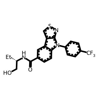 CC[C@@H](CO)NC(=O)c1ccc2c(c1)c1csnc1n2-c1ccc(C(F)(F)F)cc1